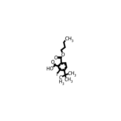 CCCCOC(=O)c1ccc(C(C)(C)C)c(I)c1C(=O)O